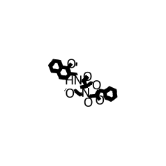 COCCN1C(=O)c2oc3ccccc3c2OCC1(C)C(=O)NCc1ccc2ccccc2c1OC